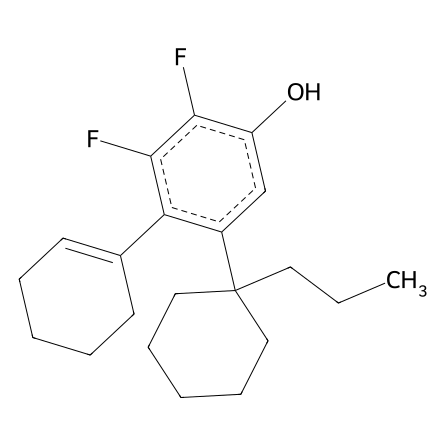 CCCC1(c2cc(O)c(F)c(F)c2C2=CCCCC2)CCCCC1